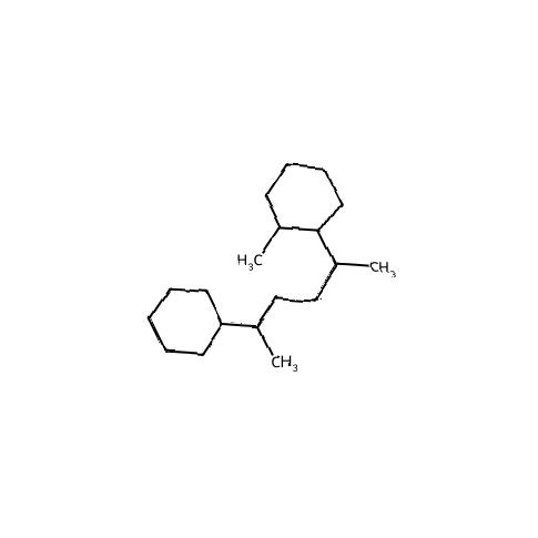 CC([CH]CC(C)C1CCCCC1)C1CCCCC1C